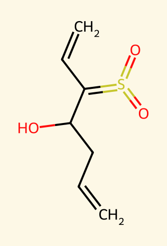 C=CCC(O)C(C=C)=S(=O)=O